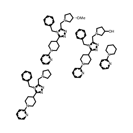 CO[C@H]1CCN(Cc2nnc(C3CCN(c4ccccn4)CC3)n2Cc2ccccc2)C1.OC1CCN(Cc2nnc(C3CCN(c4ccccn4)CC3)n2Cc2ccccc2)C1.c1ccc(Cn2c(CN3CCCC3)nnc2C2CCN(c3ccccn3)CC2)cc1.c1ccc(N2CCCCC2)nc1